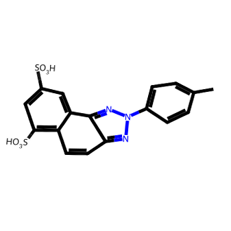 Cc1ccc(-n2nc3ccc4c(S(=O)(=O)O)cc(S(=O)(=O)O)cc4c3n2)cc1